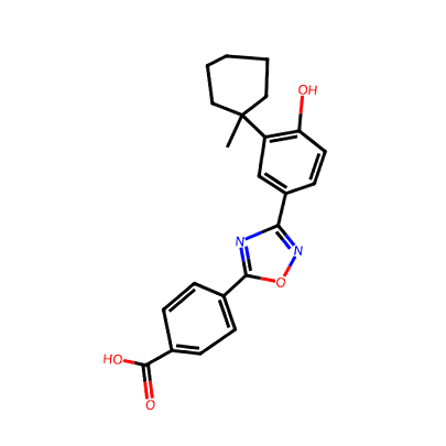 CC1(c2cc(-c3noc(-c4ccc(C(=O)O)cc4)n3)ccc2O)CCCCC1